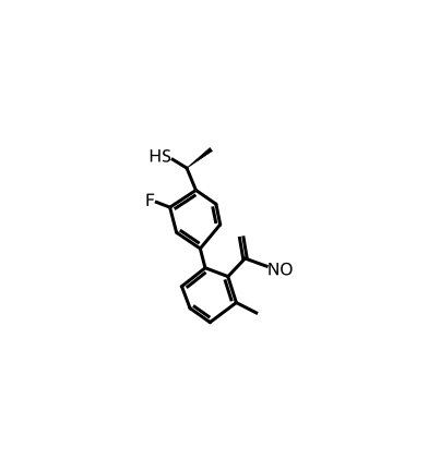 C=C(N=O)c1c(C)cccc1-c1ccc([C@H](C)S)c(F)c1